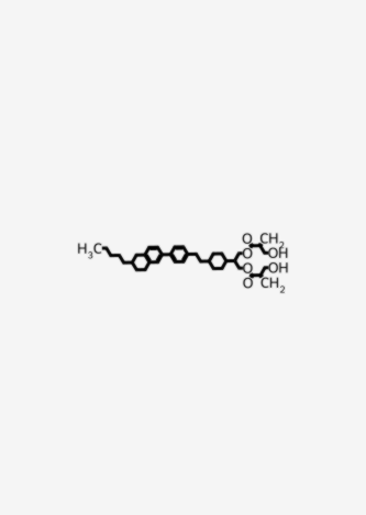 C=C(CO)C(=O)OCC(COC(=O)C(=C)CO)C1CCC(CCc2ccc(-c3ccc4c(c3)CCC(CCCCC)C4)cc2)CC1